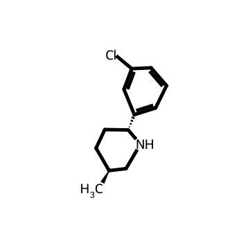 C[C@H]1CC[C@H](c2cccc(Cl)c2)NC1